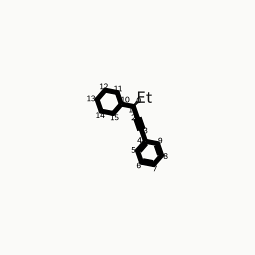 CC[C@@H](C#Cc1ccccc1)C1CCCCC1